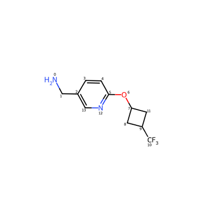 NCc1ccc(OC2CC(C(F)(F)F)C2)nc1